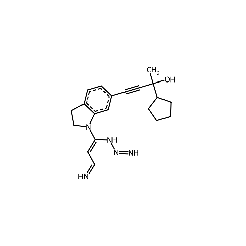 CC(O)(C#Cc1ccc2c(c1)N(/C(=C/C=N)NN=N)CC2)C1CCCC1